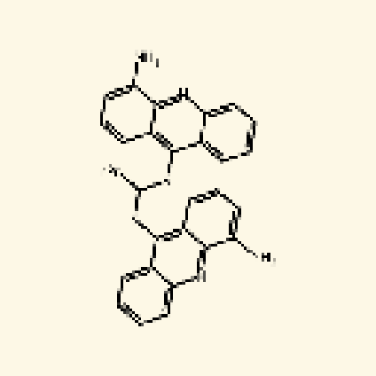 CCCC(Sc1c2ccccc2nc2c(N)cccc12)Sc1c2ccccc2nc2c(N)cccc12